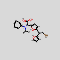 CC(C)N(c1ccccc1)C(C(=O)O)c1ccc(C(CS)c2ccco2)o1